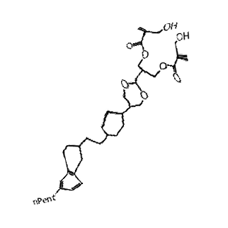 C=C(CO)C(=O)OCC(COC(=O)C(=C)CO)C1OCC(C2CCC(CCC3CCc4cc(CCCCC)ccc4C3)CC2)CO1